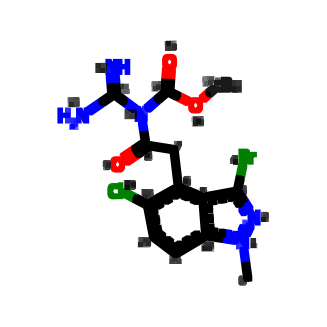 Cn1nc(Br)c2c(CC(=O)N(C(=N)N)C(=O)OC(C)(C)C)c(Cl)ccc21